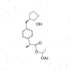 CC(=O)OC(C)OC(=O)[C@@H](C)c1ccc(C[C@H]2CCC[C@@H]2O)cc1